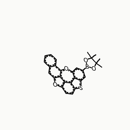 CC1(C)OB(c2cc3oc4c5ccccc5cc5oc6ccc7sc(c2)c3c7c6c54)OC1(C)C